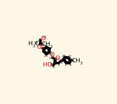 Cc1ccc(C2CC(CO)=C(COc3ccc(OC(C)(C)C=O)cc3)O2)cc1